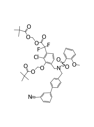 COc1ccccc1S(=O)(=O)N(Cc1ccc(-c2cccc(C#N)c2)cc1)Cc1ccc(C(F)(F)C(=O)OCOC(=O)C(C)(C)C)c(Cl)c1OCOC(=O)C(C)(C)C